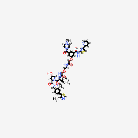 Cc1ncsc1-c1ccc(CNC(=O)[C@@H]2C[C@@H](O)CN2C(=O)[C@@H](NC(=O)COCCNC(=O)COc2cc(C(=O)Nc3nc(-c4ccccn4)cs3)cc(C(=O)N3CCN(C)CC3)c2)C(C)(C)C)cc1